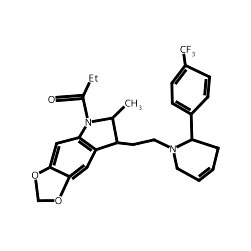 CCC(=O)N1c2cc3c(cc2C(CCN2CC=CCC2c2ccc(C(F)(F)F)cc2)C1C)OCO3